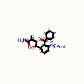 CCCCCNc1cccc(C(=O)C=C(C)C(N)=O)c1C(=O)c1ccccc1